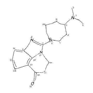 CN(C)C1CCN(c2nc3cccc4c3n2CCC4=O)CC1